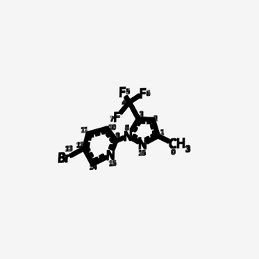 Cc1cc(C(F)(F)F)n(-c2ccc(Br)cn2)n1